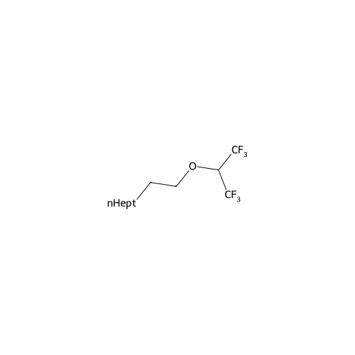 [CH2]CCCCCCCCOC(C(F)(F)F)C(F)(F)F